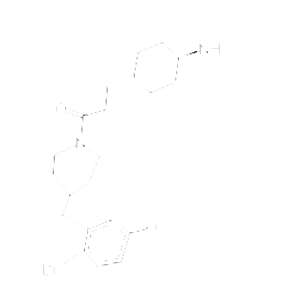 COc1ccc(Br)c(CC2CCN(C(=O)CC[C@H]3CC[C@H](N)CC3)CC2)c1